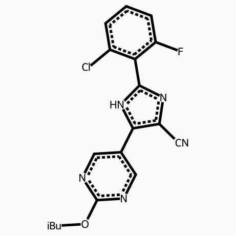 CCC(C)Oc1ncc(-c2[nH]c(-c3c(F)cccc3Cl)nc2C#N)cn1